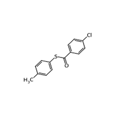 Cc1ccc(SC(=O)c2ccc(Cl)cc2)cc1